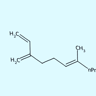 C=CC(=C)CCC=C(C)CCC